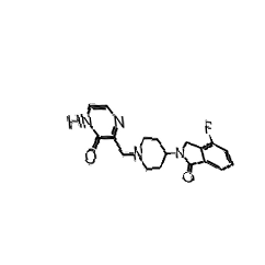 O=C1c2cccc(F)c2CN1C1CCN(Cc2ncc[nH]c2=O)CC1